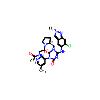 Cc1cncc(-n2c(=O)nc(Nc3cc4cn(C)nc4cc3Cl)n(C[C@@H]3CCCN3C(=O)CNC(=O)C(F)(F)F)c2=O)c1